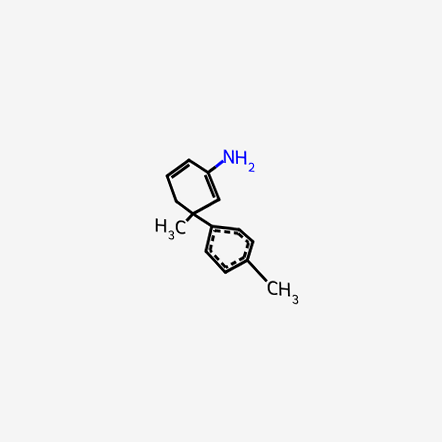 Cc1ccc(C2(C)C=C(N)C=CC2)cc1